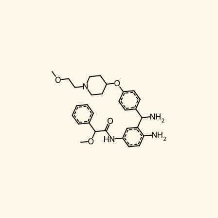 COCCN1CCC(Oc2ccc(C(N)c3cc(NC(=O)C(OC)c4ccccc4)ccc3N)cc2)CC1